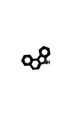 C1=C2Nc3ccccc3C2c2ccccc2C1